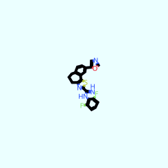 N=C(Nc1c(F)cccc1F)c1nc2c(s1)-c1cc(-c3cnco3)ccc1CCC2